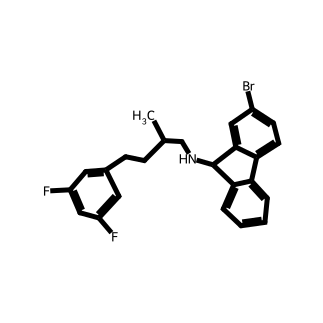 CC(CCc1cc(F)cc(F)c1)CNC1c2ccccc2-c2ccc(Br)cc21